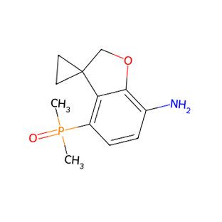 CP(C)(=O)c1ccc(N)c2c1C1(CC1)CO2